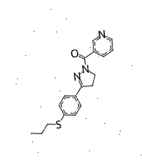 CCCSc1ccc(C2=NN(C(=O)c3cccnc3)CC2)cc1